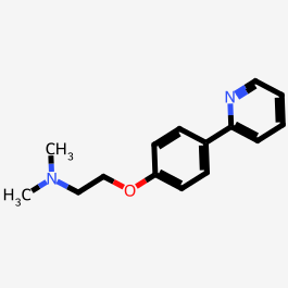 CN(C)CCOc1ccc(-c2ccccn2)cc1